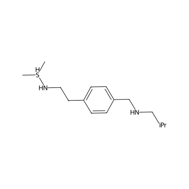 CC(C)CNCc1ccc(CCN[SH](C)C)cc1